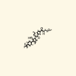 CC=NN(C(=O)c1ccc(C(=O)NCCOC)s1)c1nn(C)c(-c2ccc(C(F)(F)F)cc2)c1O